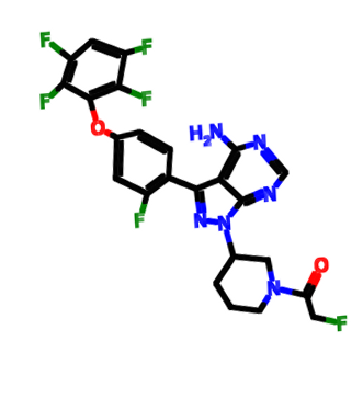 Nc1ncnc2c1c(-c1ccc(Oc3c(F)c(F)cc(F)c3F)cc1F)nn2C1CCCN(C(=O)CF)C1